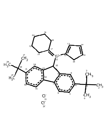 CC(C)(C)c1ccc2c(c1)[CH]([Ti+2]([C]1=CC=CC1)=[C]1CCCCC1)c1cc(C(C)(C)C)ccc1-2.[Cl-].[Cl-]